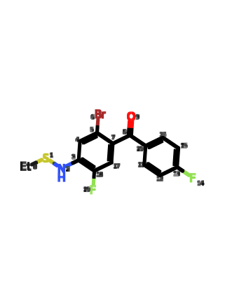 CCSNc1cc(Br)c(C(=O)c2ccc(F)cc2)cc1F